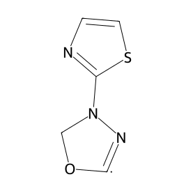 [C]1=NN(c2nccs2)CO1